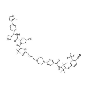 Cc1ncsc1-c1ccc([C@@H](NC(=O)[C@@H]2C[C@@H](O)CN2C(=O)C(NC(=O)COCCN2CCN(c3ccc(C(=O)NC4C(C)(C)C(Oc5ccc(C#N)c(C(F)(F)F)c5)C4(C)C)cn3)CC2)C(C)(C)C)C2COC2)cc1